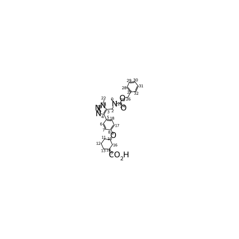 CN(Cc1c(-c2ccc(O[C@H]3CCC[C@H](C(=O)O)C3)cc2)nnn1C)C(=O)OCc1ccccc1